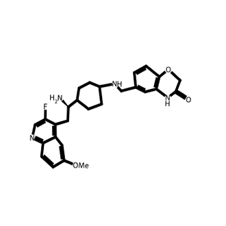 COc1ccc2ncc(F)c(C[C@@H](N)C3CCC(NCc4ccc5c(c4)NC(=O)CO5)CC3)c2c1